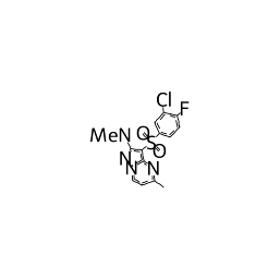 CNc1nn2ccc(C)nc2c1S(=O)(=O)c1ccc(F)c(Cl)c1